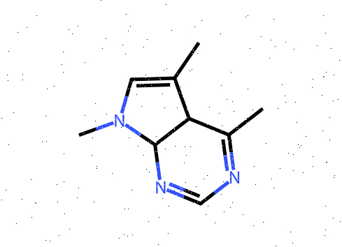 CC1=CN(C)C2N=CN=C(C)C12